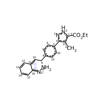 CCOC(=O)c1[nH]nc(-c2ccc(C/C=C3/C=CC=C/C3=N/N)cc2)c1C